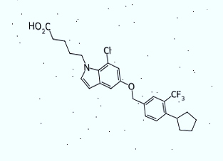 O=C(O)CCCCn1ccc2cc(OCc3ccc(C4CCCC4)c(C(F)(F)F)c3)cc(Cl)c21